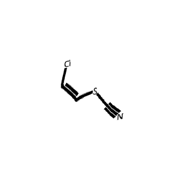 N#CS/C=C\Cl